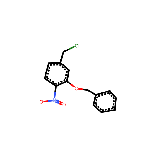 O=[N+]([O-])c1ccc(CCl)cc1OCc1ccccc1